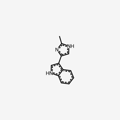 Cc1nc(-c2c[nH]c3ccccc23)c[nH]1